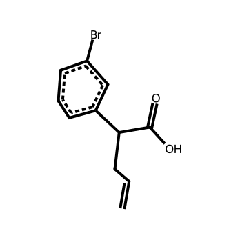 C=CCC(C(=O)O)c1cccc(Br)c1